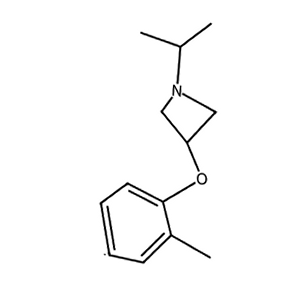 Cc1c[c]ccc1OC1CN(C(C)C)C1